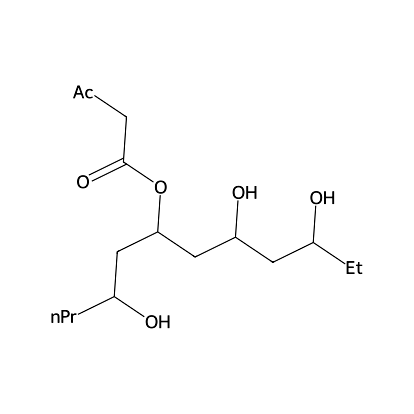 CCCC(O)CC(CC(O)CC(O)CC)OC(=O)CC(C)=O